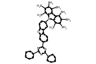 Bc1c(B)c(B)c2c(c1B)c1c(B)c(B)c(B)c(B)c1n2-c1ccc2oc3cc(-c4nc(-c5ccccc5)nc(-c5ccccc5)n4)ccc3c2c1